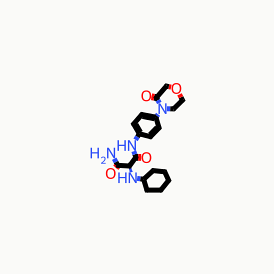 NC(=O)[C@H](NC1CCCCC1)C(=O)Nc1ccc(N2CCOCC2=O)cc1